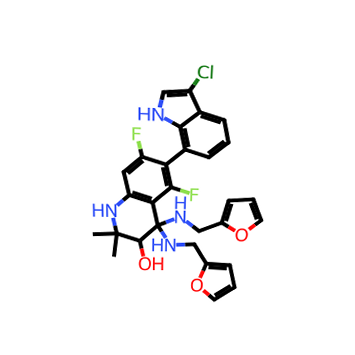 CC1(C)Nc2cc(F)c(-c3cccc4c(Cl)c[nH]c34)c(F)c2C(NCc2ccco2)(NCc2ccco2)C1O